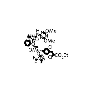 CCOC(=O)C(Cl)Cc1cc(-n2nc(C)n(C(F)F)c2=O)c(F)cc1Cl.COCCOc1ccccc1S(=O)(=O)NC(=O)Nc1nc(OC)nc(OC)n1